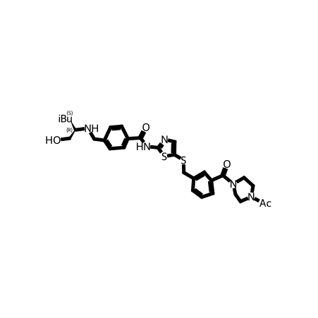 CC[C@H](C)[C@H](CO)NCc1ccc(C(=O)Nc2ncc(SCc3cccc(C(=O)N4CCN(C(C)=O)CC4)c3)s2)cc1